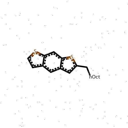 CCCCCCCCCc1cc2cc3ccsc3cc2s1